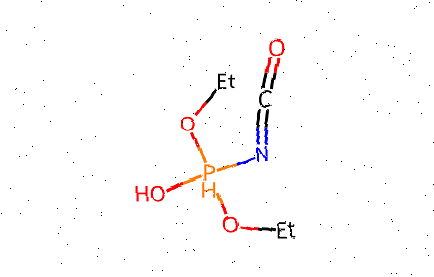 CCO[PH](O)(N=C=O)OCC